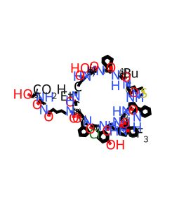 CC[C@H](C)[C@@H]1NC(=O)[C@H](c2ccccc2)NC(=O)[C@H]([C@@H](C)O)NC(=O)CCCN(CC)C(=O)C[C@@H](C(=O)NCCCCC(=O)N(C)CC(=O)N[C@@H](CO)C(=O)O)C(=O)[C@H](Cc2cccc(Cl)c2)N(C)C(=O)[C@@H](Cc2ccc(O)cc2)NC(=O)C(Cc2ccc(C(F)(F)F)cc2)NC(=O)[C@@H](Cc2c[nH]c3ccccc23)NC(=O)C(Cc2c[nH]c3ccccc23)NC(=O)[C@H](CC2CSC=N2)N(C)C1=O